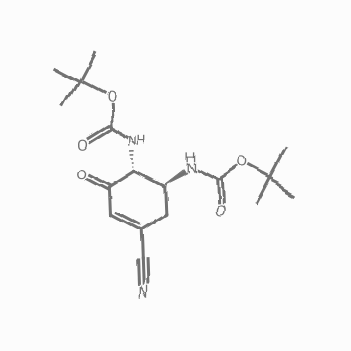 CC(C)(C)OC(=O)N[C@H]1CC(C#N)=CC(=O)[C@@H]1NC(=O)OC(C)(C)C